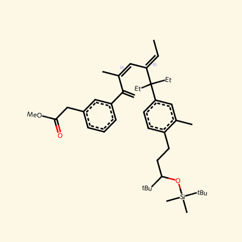 C=C(/C(C)=C\C(=C/C)C(CC)(CC)c1ccc(CCC(O[Si](C)(C)C(C)(C)C)C(C)(C)C)c(C)c1)c1cccc(CC(=O)OC)c1